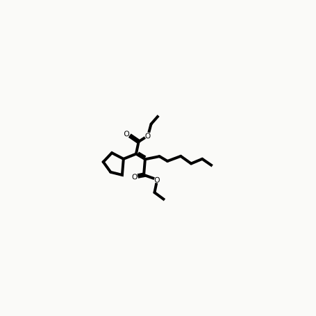 CCCCCCC(C(=O)OCC)=C(C(=O)OCC)C1CCCC1